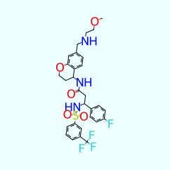 COCCNCc1ccc2c(c1)OCCC2NC(=O)CC(NS(=O)(=O)c1cccc(C(F)(F)F)c1)c1ccc(F)cc1